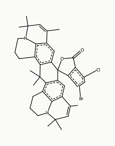 CC1=CC(C)(C)N2CCCc3c2c1cc1c3C(C)(C)c2c(cc3c4c2CCCN4C(C)(C)C=C3C)C12OC(=O)c1c(Cl)cc(Br)cc12